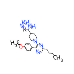 CCCCc1cnc(-c2ccc(OC)cc2)c(N2CCC(C(=N)/N=N\N)CC2)n1